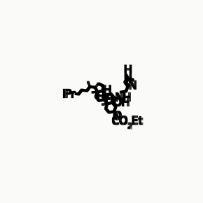 CCOC(=O)O[C@H]1CC[C@]2(C)[C@H]3CC[C@]4(C)[C@@H]([C@H](C)CCCC(C)C)CC[C@H]4[C@@H]3C[C@@H](NCCc3c[nH]cn3)[C@@]2(O)C1